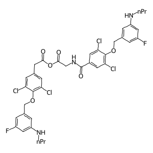 CCCNc1cc(F)cc(COc2c(Cl)cc(CC(=O)OC(=O)CNC(=O)c3cc(Cl)c(OCc4cc(F)cc(NCCC)c4)c(Cl)c3)cc2Cl)c1